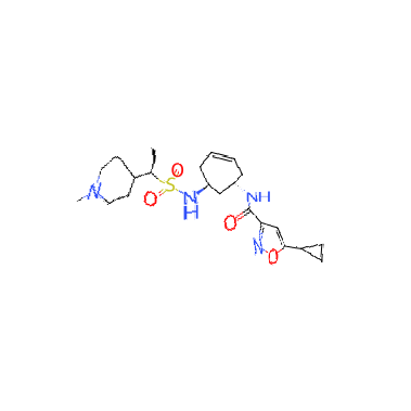 C[C@H](C1CCN(C)CC1)S(=O)(=O)N[C@H]1CC=CC[C@H](NC(=O)c2cc(C3CC3)on2)C1